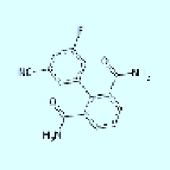 N#Cc1cc(F)cc(-c2c(C(N)=O)cccc2C(N)=O)c1